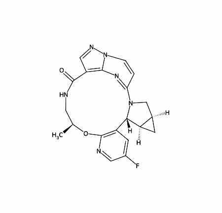 C[C@H]1CNC(=O)c2cnn3ccc(nc23)N2C[C@H]3C[C@H]3[C@@H]2c2cc(F)cnc2O1